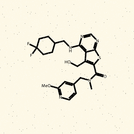 COc1cc(CN(C)C(=O)c2sc3ncnc(NCC4CCC(F)(F)CC4)c3c2CO)ccn1